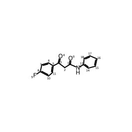 O=C(CC(=O)c1ccc(F)cc1)Nc1ccccc1